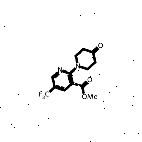 COC(=O)c1cc(C(F)(F)F)cnc1N1CCC(=O)CC1